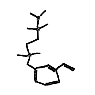 C=Cc1cccc(C[Si](C)(C)CC[Si](C)(C)N(C)C)c1